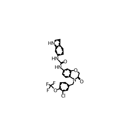 O=C(Nc1ccc2c(c1)OCC(=O)N2Cc1ccc(OC(F)(F)F)c(Cl)c1)Nc1ccc2cc[nH]c2c1